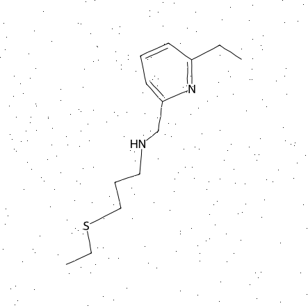 CCSCCCNCc1cccc(CC)n1